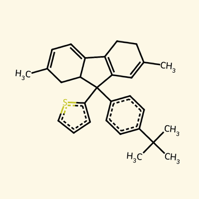 CC1=CC2=C(CC1)C1=CC=C(C)CC1C2(c1ccc(C(C)(C)C)cc1)c1cccs1